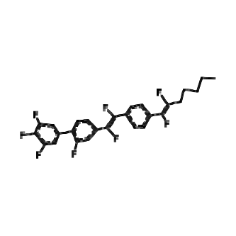 CCCCC/C(F)=C(\F)c1ccc(/C(F)=C(\F)c2ccc(-c3cc(F)c(F)c(F)c3)c(F)c2)cc1